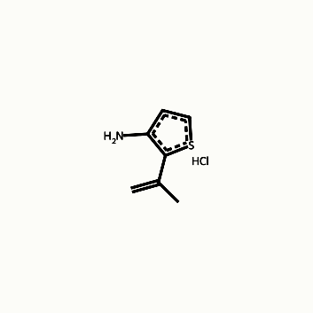 C=C(C)c1sccc1N.Cl